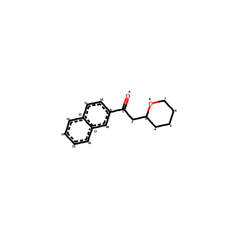 O=C(CC1CCCCO1)c1ccc2ccccc2c1